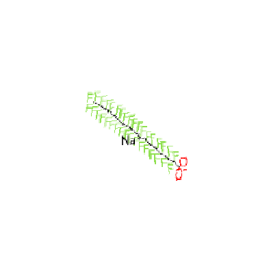 O=C([O-])C(F)(F)C(F)(F)C(F)(F)C(F)(F)C(F)(F)C(F)(F)C(F)(F)C(F)(F)C(F)(F)C(F)(F)C(F)(F)C(F)(F)C(F)(F)C(F)(F)C(F)(F)C(F)(F)C(F)(F)F.[Na+]